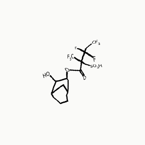 O=C(OC1C2CCC(C2)C1O)C(C(F)(F)F)(C(F)(F)C(F)(F)F)S(=O)(=O)O